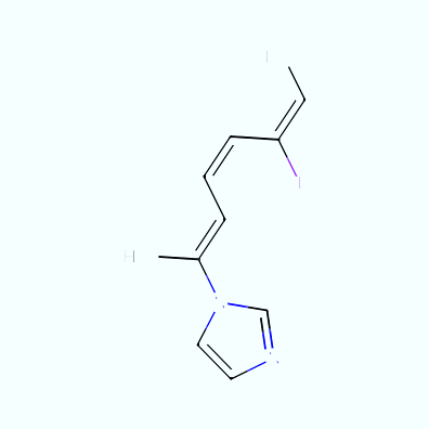 C\C=C(I)/C=C\C=C(/C)n1ccnc1